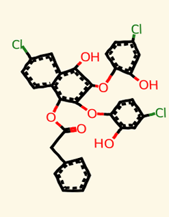 O=C(Cc1ccccc1)Oc1c(Oc2ccc(Cl)cc2O)c(Oc2ccc(Cl)cc2O)c(O)c2cc(Cl)ccc12